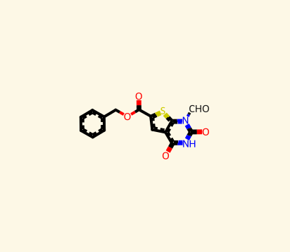 O=Cn1c(=O)[nH]c(=O)c2cc(C(=O)OCc3ccccc3)sc21